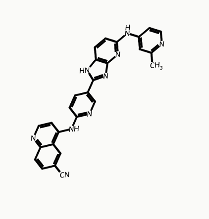 Cc1cc(Nc2ccc3[nH]c(-c4ccc(Nc5ccnc6ccc(C#N)cc56)nc4)nc3n2)ccn1